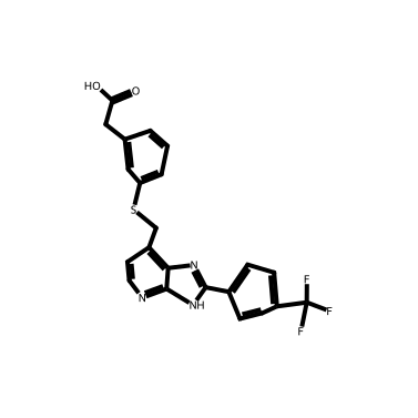 O=C(O)Cc1cccc(SCc2ccnc3[nH]c(-c4ccc(C(F)(F)F)cc4)nc23)c1